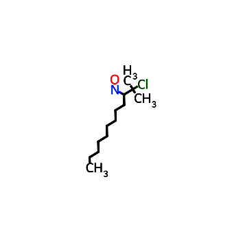 CCCCCCCCCC(N=O)C(C)(C)Cl